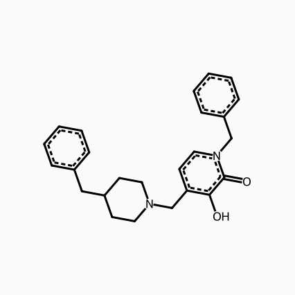 O=c1c(O)c(CN2CCC(Cc3ccccc3)CC2)ccn1Cc1ccccc1